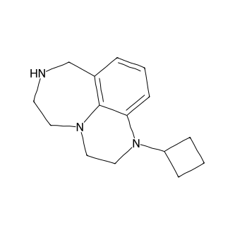 c1cc2c3c(c1)N(C1CCC1)CCN3CCNC2